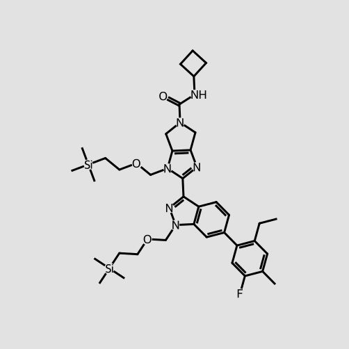 CCc1cc(C)c(F)cc1-c1ccc2c(-c3nc4c(n3COCC[Si](C)(C)C)CN(C(=O)NC3CCC3)C4)nn(COCC[Si](C)(C)C)c2c1